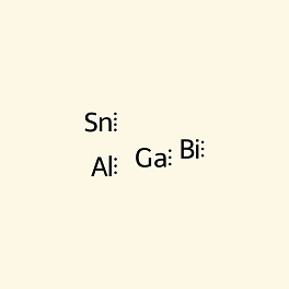 [Al].[Bi].[Ga].[Sn]